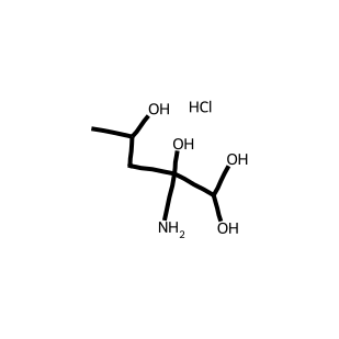 CC(O)CC(N)(O)C(O)O.Cl